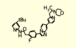 CC(Cc1cc(-c2ccn3c(-c4ccc(CC(=O)Nc5cc(C(C)(C)C)ccn5)c(F)c4)cnc3c2)ccn1)N1CCOCC1